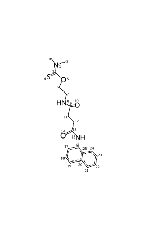 CN(C)C(=S)OCCNC(=O)CCC(=O)Nc1cccc2ccccc12